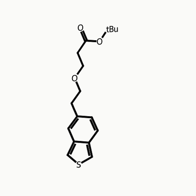 CC(C)(C)OC(=O)CCOCCc1ccc2cscc2c1